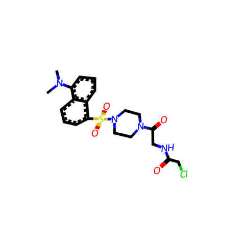 CN(C)c1cccc2c(S(=O)(=O)N3CCN(C(=O)CNC(=O)CCl)CC3)cccc12